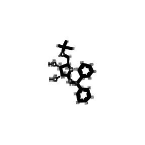 CC(C)(C)OC[C@H]1OC(O[SiH](c2ccccc2)c2ccccc2)[C@H](O)[C@@H]1O